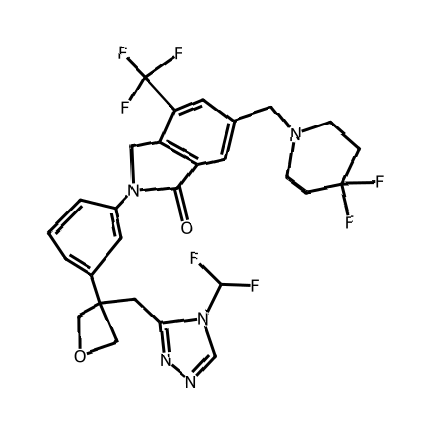 O=C1c2cc(CN3CCC(F)(F)CC3)cc(C(F)(F)F)c2CN1c1cccc(C2(Cc3nncn3C(F)F)COC2)c1